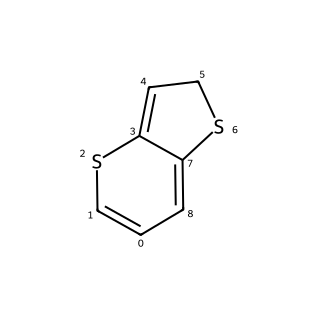 C1=CSC2=CCSC2=C1